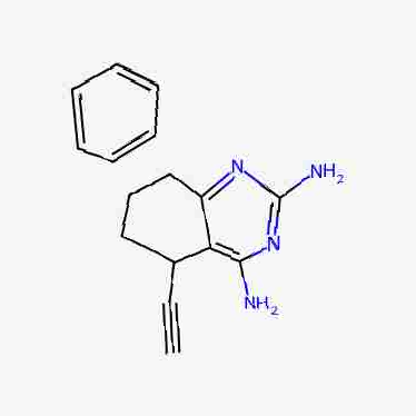 C#CC1CCCc2nc(N)nc(N)c21.c1ccccc1